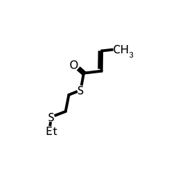 [CH2]CSCCSC(=O)C=CC